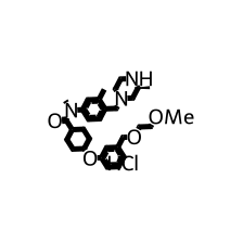 COCCOCc1cccc(OC2CCC(C(=O)N(C)c3ccc(CN4CCN[C@@H](C)C4)c(C)c3)CC2)c1.Cl